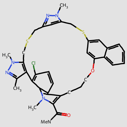 CNC(=O)c1c2c3ccc(Cl)c(c3n1C)-c1c(C)nn(C)c1CSCc1cc(n(C)n1)CSc1cc(c3ccccc3c1)OCCC2